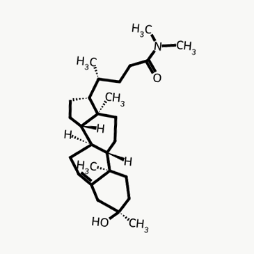 C[C@H](CCC(=O)N(C)C)[C@H]1CC[C@H]2[C@@H]3CC=C4C[C@](C)(O)CC[C@]4(C)[C@H]3CC[C@]12C